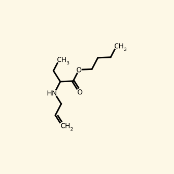 C=CCNC(CC)C(=O)OCCCC